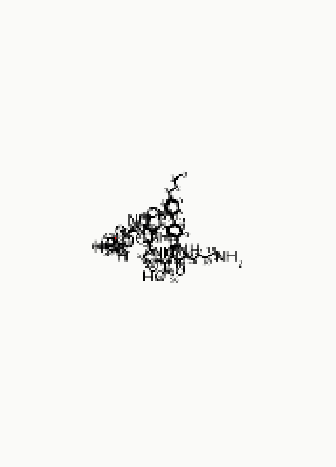 CCCCc1ccc(-c2ccc(C(=O)N[C@@H](CCCCN)C(=O)N[C@H](C(=O)N[C@@H](CC)C(=O)NC(CC(N)=O)C(=O)N[C@@H](N)B3OC4C[C@@H]5C[C@@H](C5(C)C)[C@]4(C)O3)[C@@H](C)O)cc2)cc1